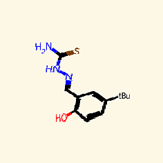 CC(C)(C)c1ccc(O)c(C=NNC(N)=S)c1